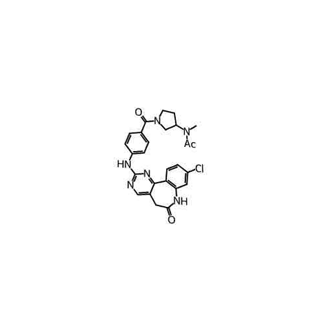 CC(=O)N(C)C1CCN(C(=O)c2ccc(Nc3ncc4c(n3)-c3ccc(Cl)cc3NC(=O)C4)cc2)C1